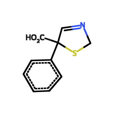 O=C(O)C1(c2ccccc2)C=NCS1